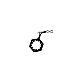 O=CNc1cc[c]cc1